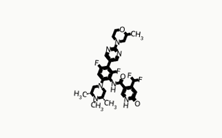 CC1CN(c2ncc(-c3c(F)cc(N4C[C@@H](C)N(C)[C@@H](C)C4)c(NC(=O)c4c[nH]c(=O)cc4C(F)F)c3F)cn2)CCO1